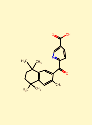 Cc1cc2c(cc1C(=O)c1ccc(C(=O)O)cn1)C(C)(C)CCC2(C)C